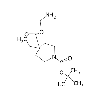 CCC1(C(=O)OCN)CCN(C(=O)OC(C)(C)C)CC1